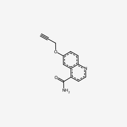 C#CCOc1ccc2nccc(C(N)=O)c2c1